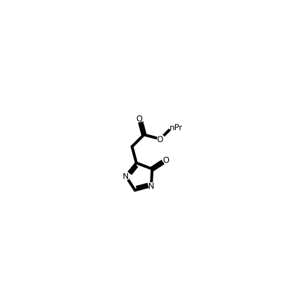 CCCOC(=O)CC1=NC=NC1=O